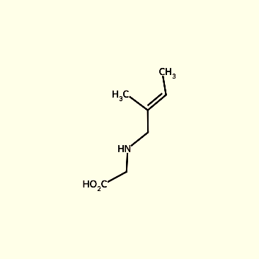 C/C=C(\C)CNCC(=O)O